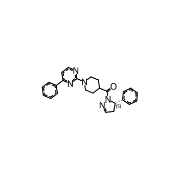 O=C(C1CCN(c2nccc(-c3ccccc3)n2)CC1)N1N=CC[C@H]1c1ccccc1